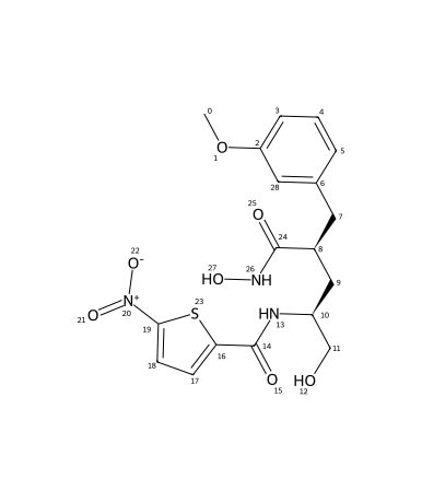 COc1cccc(C[C@@H](C[C@@H](CO)NC(=O)c2ccc([N+](=O)[O-])s2)C(=O)NO)c1